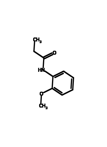 CCC(=O)Nc1ccccc1OC